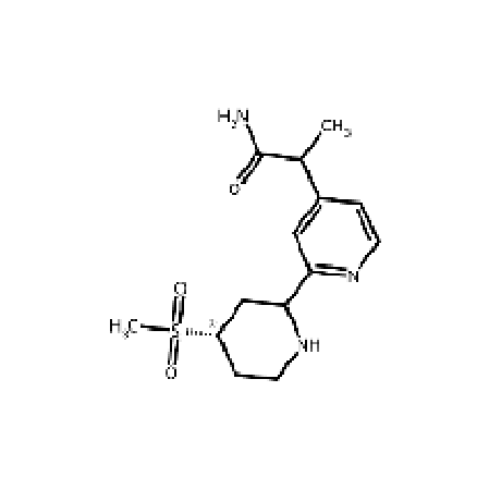 CC(C(N)=O)c1ccnc(C2C[C@@H](S(C)(=O)=O)CCN2)c1